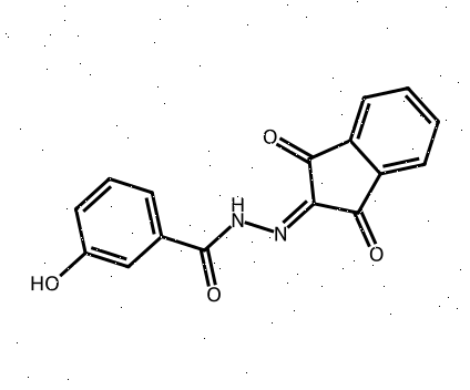 O=C(NN=c1c(=O)c2ccccc2c1=O)c1cccc(O)c1